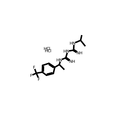 CC(C)NC(=N)NC(=N)NC(C)c1ccc(C(F)(F)F)cc1.Cl.Cl